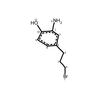 Nc1cc(CCCBr)ccc1O